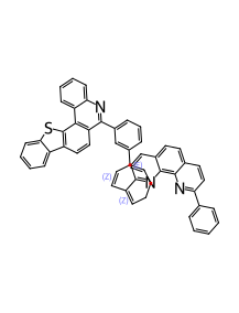 C1=C\C(c2cccc(-c3nc4ccccc4c4c3ccc3c5ccccc5sc34)c2)=C/CC/C=C/1c1ccc2ccc3ccc(-c4ccccc4)nc3c2n1